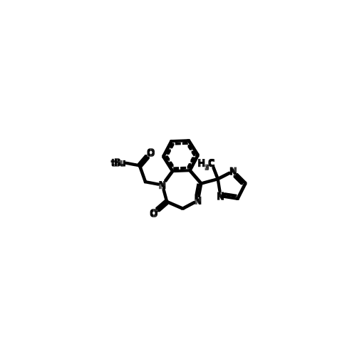 CC(C)(C)C(=O)CN1C(=O)CN=C(C2(C)N=CC=N2)c2ccccc21